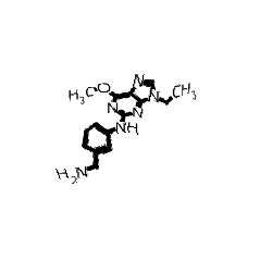 CCn1cnc2c(OC)nc(Nc3cccc(CN)c3)nc21